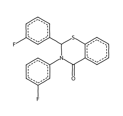 O=C1c2ccccc2SC(c2cccc(F)c2)N1c1cccc(F)c1